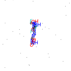 O=C1CCC(N2Cc3ccc(N4CCN(Cc5cnc(O[C@H]6CN7c8cc(-c9cccc(F)c9O)nnc8NC[C@@]7(C(F)F)C6)c(F)c5)CC4)cc3C2=O)C(=O)N1